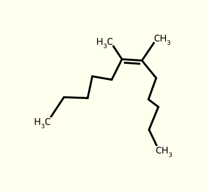 CCCCCC(C)=C(C)CCCCC